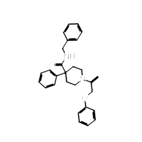 C=C(COc1ccccc1)N1CCC(C(=O)NCc2ccccc2)(c2ccccc2)CC1